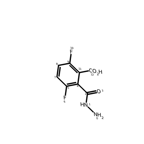 NNC(=O)c1c(F)ccc(F)c1C(=O)O